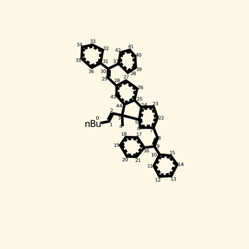 CCCCC=CC1(C)c2cc(C=C(c3ccccc3)c3ccccc3)ccc2-c2ccc(C=C(c3ccccc3)c3ccccc3)cc21